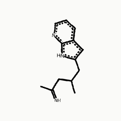 CC(=N)CC(C)Cc1cc2cccnc2[nH]1